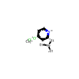 C[CH2][Al]([CH2]C)[CH2]C.[Cl-].[Cl-].[Co+2].c1ccncc1